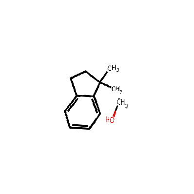 CC1(C)CCc2ccccc21.CO